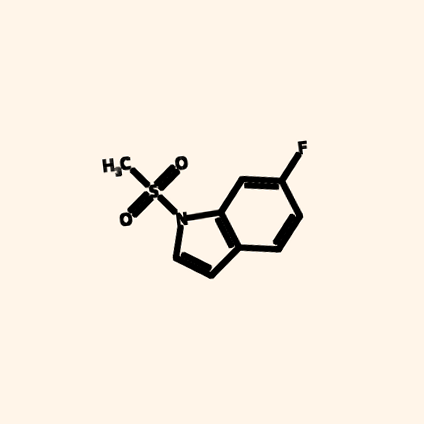 CS(=O)(=O)n1ccc2ccc(F)cc21